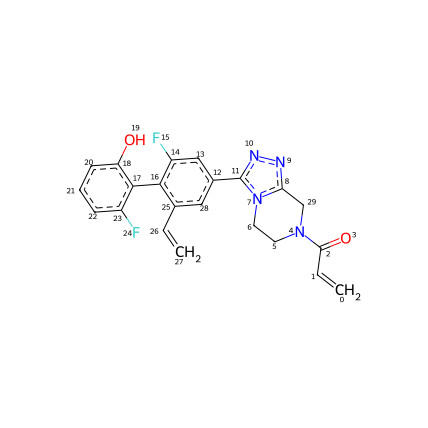 C=CC(=O)N1CCn2c(nnc2-c2cc(F)c(-c3c(O)cccc3F)c(C=C)c2)C1